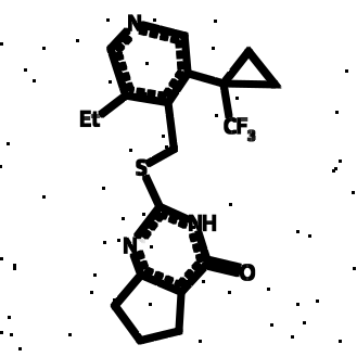 CCc1cncc(C2(C(F)(F)F)CC2)c1CSc1nc2c(c(=O)[nH]1)CCC2